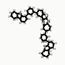 c1cc(-c2ccc3nc4oc5ccc(-c6cccc(-c7cccc8c7sc7ccccc78)c6)cc5c4nc3c2)cc(-c2cccc3c2sc2ccccc23)c1